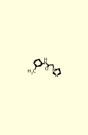 [CH2]c1cccc(NC(=O)Cn2ccnc2)c1